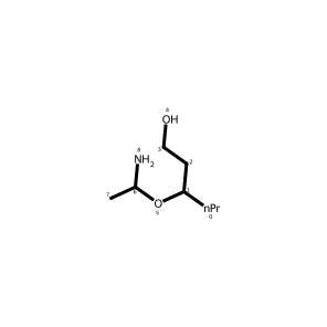 CCCC(CCO)OC(C)N